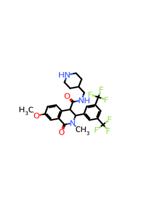 COc1ccc2c(c1)C(=O)N(C)C(c1cc(C(F)(F)F)cc(C(F)(F)F)c1)C2C(=O)NCC1CCNCC1